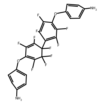 Nc1ccc(OC2=C(F)C(F)(F)C(F)(c3c(F)c(F)c(Oc4ccc(N)cc4)c(F)c3F)C(F)=C2F)cc1